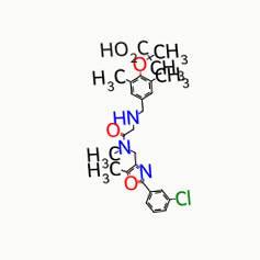 Cc1cc(CNCC(=O)N(C)Cc2nc(-c3cccc(Cl)c3)oc2C)cc(C)c1OC(C)(C)C(=O)O